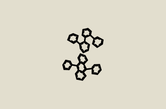 c1ccc(-c2c3ccccc3c(-c3ccccc3)c3ccccc23)cc1.c1ccc(-c2ccccc2-c2ccccc2-c2ccccc2)cc1